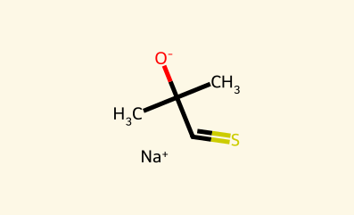 CC(C)([O-])C=S.[Na+]